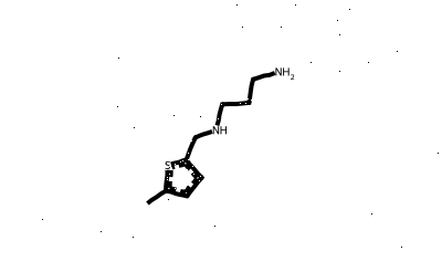 Cc1ccc(CNCCCN)s1